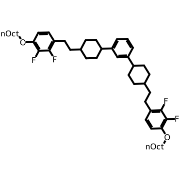 CCCCCCCCOc1ccc(CCC2CCC(c3cccc(C4CCC(CCc5ccc(OCCCCCCCC)c(F)c5F)CC4)c3)CC2)c(F)c1F